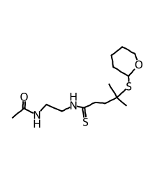 CC(=O)NCCNC(=S)CCC(C)(C)SC1CCCCO1